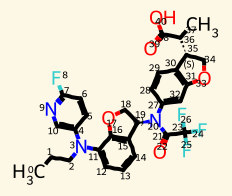 CCCN(c1ccc(F)nc1)c1cccc2c1OC[C@H]2N(C(=O)C(F)(F)F)c1ccc2c(c1)OC[C@H]2C(C)C(=O)O